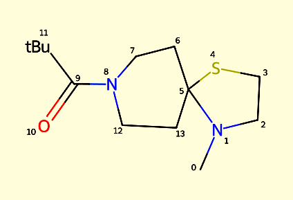 CN1CCSC12CCN(C(=O)C(C)(C)C)CC2